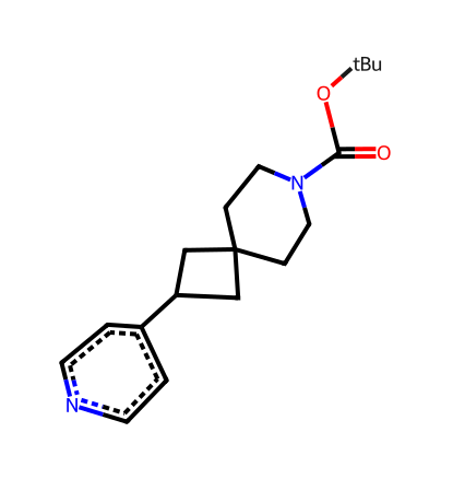 CC(C)(C)OC(=O)N1CCC2(CC1)CC(c1ccncc1)C2